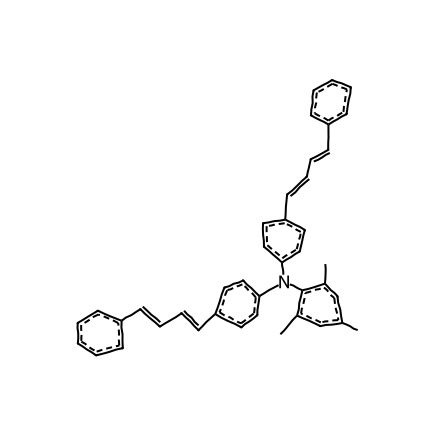 Cc1cc(C)c(N(c2ccc(C=CC=Cc3ccccc3)cc2)c2ccc(C=CC=Cc3ccccc3)cc2)c(C)c1